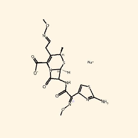 CON=CCC1=C(C(=O)[O-])N2C(=O)C(NC(=O)/C(=N\OC)c3csc(N)n3)[C@@H]2S[C@@H]1C.[Na+]